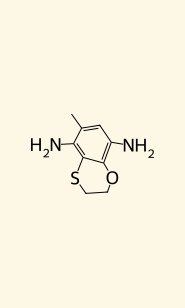 Cc1cc(N)c2c(c1N)SCCO2